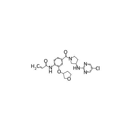 C=CC(=O)Nc1ccc(C(=O)N2CC[C@@H](Nc3ncc(Cl)cn3)C2)cc1OC1CCOC1